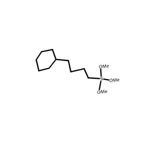 CO[Si](CCCCC1CCCCC1)(OC)OC